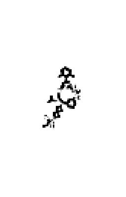 CCC(=O)N[C@H]1CC2(C1)C[C@H](C1c3cccc(c3)S(=O)(=O)Nc3nc(cc(-c4c(C)cccc4C)n3)OC[C@H]1CC(C)C)C2